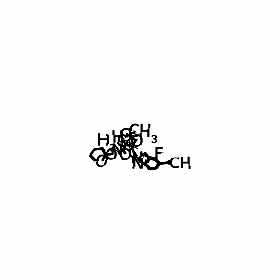 C#Cc1ccc2nn(CC[C@](C)(C(=O)NOC3CCCCO3)S(C)(=O)=O)cc2c1F